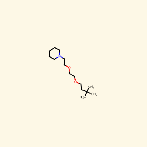 CC(C)(C)CCOCCOCCN1CCCCC1